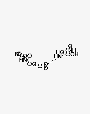 O=C(NC(c1ccccc1)c1cccc(OCc2ccc(C(=O)OCCCCCCCNCC(O)c3ccc(O)c4[nH]c(=O)ccc34)cc2)c1)OC1CN2CCC1CC2